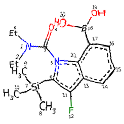 CCN(CC)C(=O)n1c([Si](C)(C)C)c(F)c2cccc(B(O)O)c21